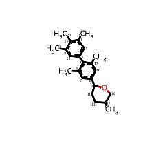 Cc1cc(-c2c(C)cc(C3CCC(C)CO3)cc2C)cc(C)c1C